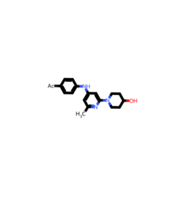 CC(=O)c1ccc(Nc2cc(C)nc(N3CCC(O)CC3)c2)cc1